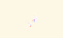 O=C(O)C1CCN1C(=O)N(C1CC1)C1CC[C@@H]2[C@H]1Cc1ccccc1N2C(=O)O